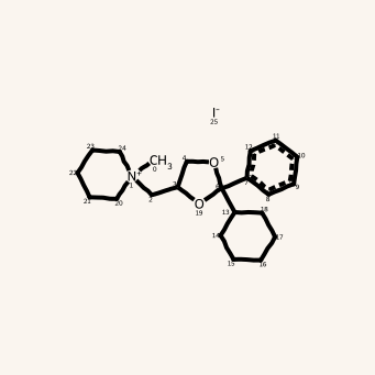 C[N+]1(CC2COC(c3ccccc3)(C3CCCCC3)O2)CCCCC1.[I-]